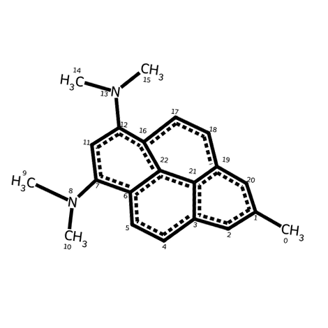 Cc1cc2ccc3c(N(C)C)cc(N(C)C)c4ccc(c1)c2c34